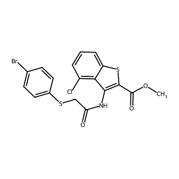 COC(=O)c1sc2cccc(Cl)c2c1NC(=O)CSc1ccc(Br)cc1